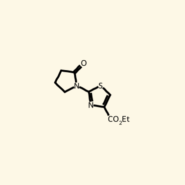 CCOC(=O)c1csc(N2CCCC2=O)n1